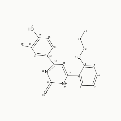 CCCOc1ccccc1-c1cc(-c2ccc(O)c(C)c2)nc(=O)[nH]1